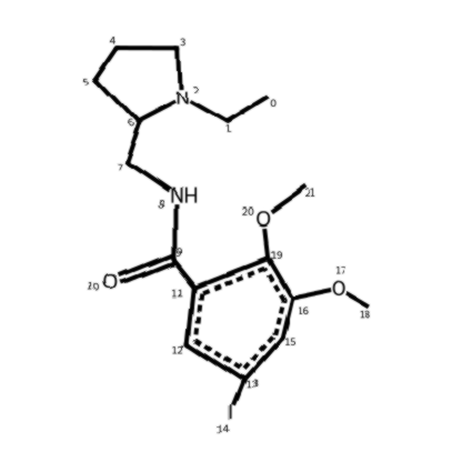 CCN1CCCC1CNC(=O)c1cc(I)cc(OC)c1OC